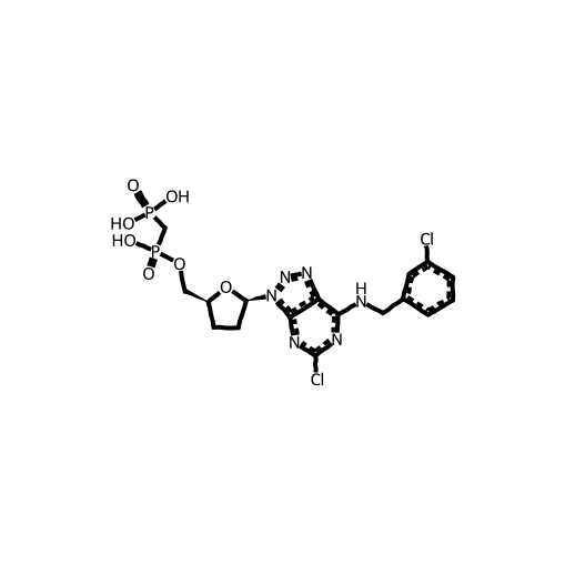 O=P(O)(O)CP(=O)(O)OC[C@@H]1CC[C@H](n2nnc3c(NCc4cccc(Cl)c4)nc(Cl)nc32)O1